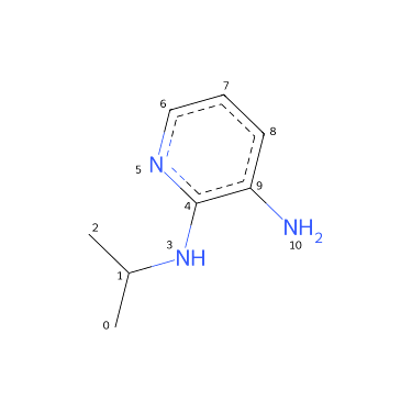 CC(C)Nc1ncccc1N